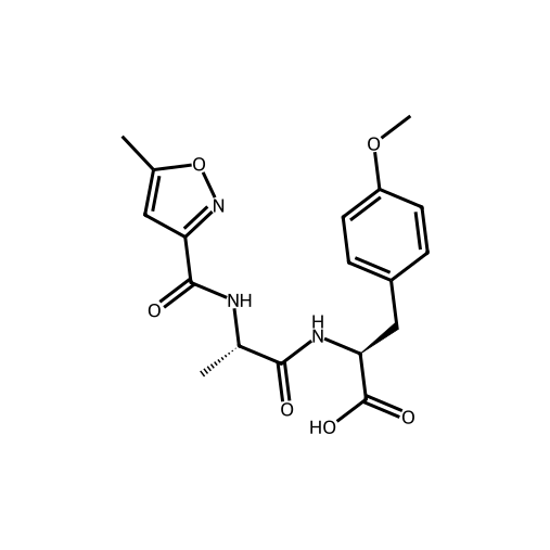 COc1ccc(C[C@H](NC(=O)[C@H](C)NC(=O)c2cc(C)on2)C(=O)O)cc1